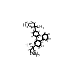 CCC(C)(CC)c1ccc(-c2cc(C(C)(CC)CC)ccc2-c2ccccc2)cc1